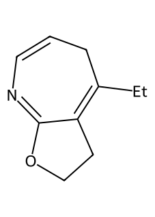 CCC1=C2CCOC2=NC=CC1